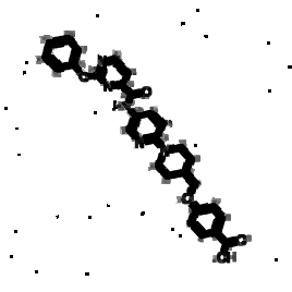 O=C(O)c1ccc(OCC2CCN(c3ccc(NC(=O)c4ccnc(Oc5ccccc5)n4)cn3)CC2)cc1